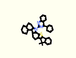 CC1(C)c2ccccc2-c2sc3c(ccc4c5c6ccccc6ccc5n(-c5nc(-c6ccccc6)c6ccccc6n5)c43)c21